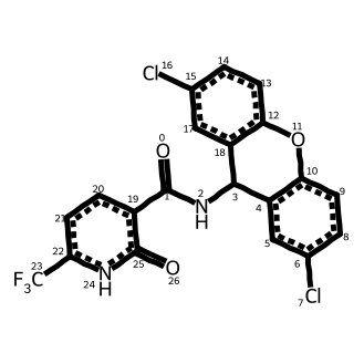 O=C(NC1c2cc(Cl)ccc2Oc2ccc(Cl)cc21)c1ccc(C(F)(F)F)[nH]c1=O